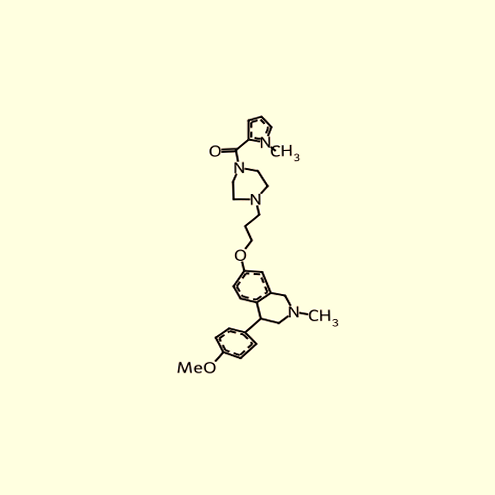 COc1ccc(C2CN(C)Cc3cc(OCCCN4CCN(C(=O)c5cccn5C)CC4)ccc32)cc1